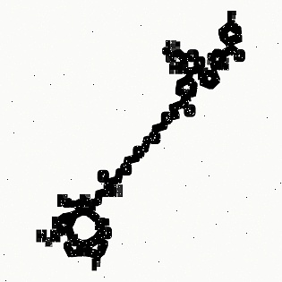 CN[C@H](C)C(=O)N[C@@H](C(=O)N1CCC[C@@H]1C1=NC(C(=O)c2ccc(F)cc2)CS1)C1CCN(C(=O)CCOCCOCCOCCOCCC(=O)NCCn2nc(C#N)c3c2CN(C)C(=O)c2ccc(F)cc2[C@H]2CCCN2c2cc-3cnc2N)CC1